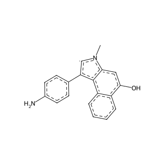 Cn1[c]c(-c2ccc(N)cc2)c2c3ccccc3c(O)cc21